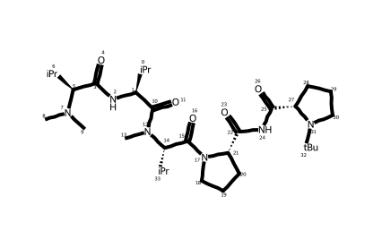 CC(C)[C@H](NC(=O)[C@H](C(C)C)N(C)C)C(=O)N(C)[C@H](C(=O)N1CCC[C@H]1C(=O)NC(=O)[C@@H]1CCCN1C(C)(C)C)C(C)C